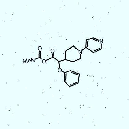 CNC(=O)OC(=O)C(Oc1ccccc1)C1CCN(c2ccncc2)CC1